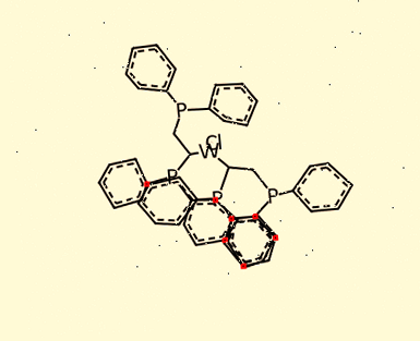 [Cl][W]([CH](CP(c1ccccc1)c1ccccc1)P(c1ccccc1)c1ccccc1)[CH](CP(c1ccccc1)c1ccccc1)P(c1ccccc1)c1ccccc1